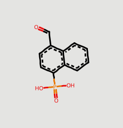 O=Cc1ccc(P(=O)(O)O)c2ccccc12